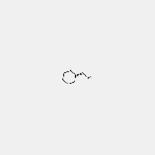 [CH2]CCC=C1CCCCC1